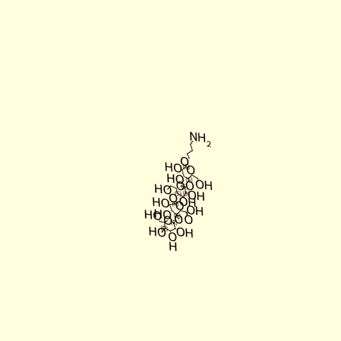 NCCCCCO[C@H]1OC(CO)[C@@H](O[C@@H]2OC(CO)[C@@H](O[C@@H]3OC(C(=O)O)[C@@H](O[C@H]4OC(CO)[C@H](O)C(O)C4O)C(O)C3O)C(O)[C@@H]2O)C(O)C1O